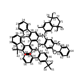 Cc1cc2c(cc1N1c3cc4c(cc3B3c5c1cc1c(sc6ccccc61)c5-c1c(ccc5c1-c1ccccc1C5(C)C)N3c1ccc(C(C)(C)C)cc1-c1ccccc1)Oc1ccccc1S4)C(C)(C)CCC2(C)C